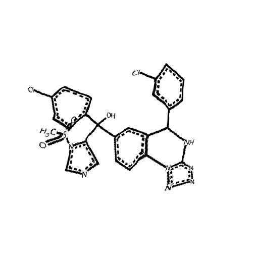 CS(=O)(=O)n1cncc1C(O)(c1ccc(Cl)cc1)c1ccc2c(c1)C(c1cccc(Cl)c1)Nc1nnnn1-2